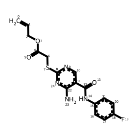 C=CCOC(=O)CSc1ncc(C(=O)Nc2ccc(F)cc2)c(N)n1